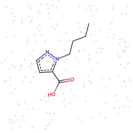 CCCCn1nccc1C(=O)O